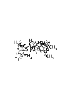 [2H]N(C)S(=O)(=O)c1c(OCC)ccc(C(C)[C@@](C)(CC)N(C)CC(C)Oc2c(OCC)ccc(C)c2C)c1C